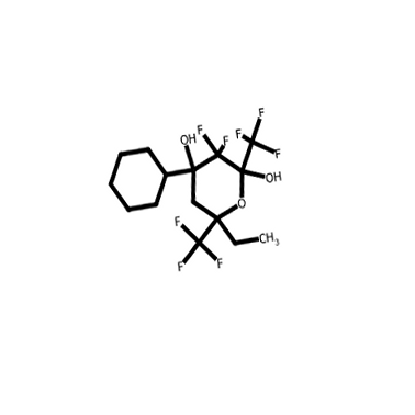 CCC1(C(F)(F)F)CC(O)(C2CCCCC2)C(F)(F)C(O)(C(F)(F)F)O1